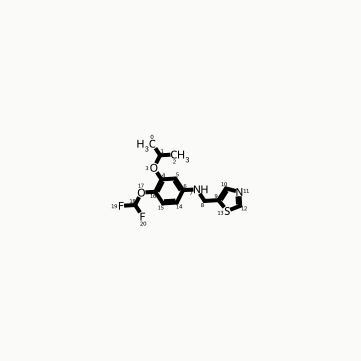 CC(C)Oc1cc(NCc2cncs2)ccc1OC(F)F